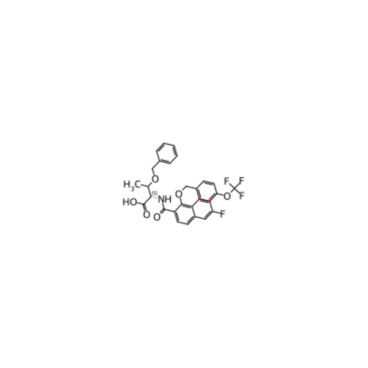 CC(OCc1ccccc1)[C@H](NC(=O)c1ccc2cc(F)ccc2c1OCc1ccc(OC(F)(F)F)cc1)C(=O)O